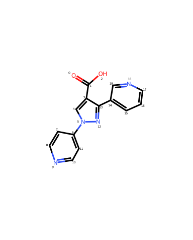 O=C(O)c1cn(-c2ccncc2)nc1-c1cccnc1